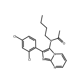 CCCCN(C(C)=O)c1c(-c2ccc(Cl)cc2Cl)nc2ncccn12